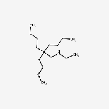 CCCCC(CCCC)(CCCC)CNCC